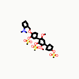 COc1cc(-c2ccc(OS(C)(=O)=O)cc2)c(OC)c(OS(C)(=O)=O)c1-c1ccc(OCc2ccccc2N(C)C)c(OS(C)(=O)=O)c1